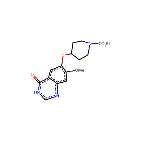 CCOC(=O)N1CCC(Oc2cc3c(=O)[nH]cnc3cc2OC)CC1